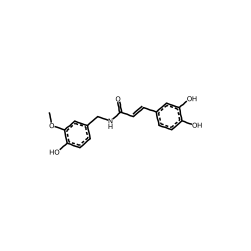 COc1cc(CNC(=O)C=Cc2ccc(O)c(O)c2)ccc1O